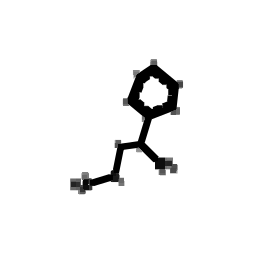 CSCC(N)c1ccccc1